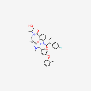 CCC(C(=O)Nc1cccc2c1O[C@H](CN(C)Cc1ccc(Oc3ccccc3C)cc1)[C@H](C)CN(C(C)CO)C2=O)c1ccc(F)cc1